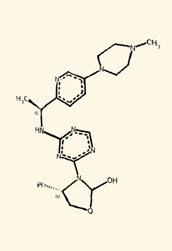 CC(C)[C@H]1COC(O)N1c1ncnc(N[C@@H](C)c2ccc(N3CCN(C)CC3)cn2)n1